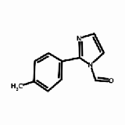 Cc1ccc(-c2nccn2C=O)cc1